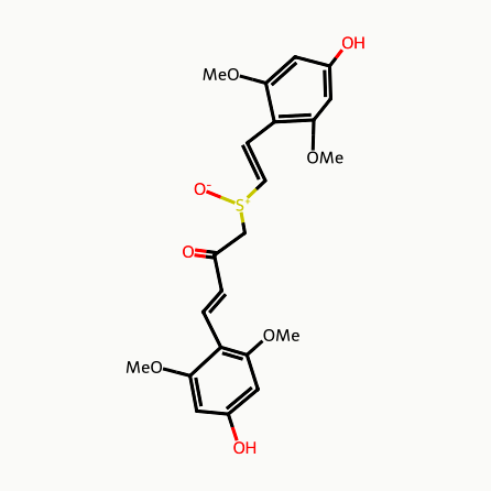 COc1cc(O)cc(OC)c1/C=C/C(=O)C[S+]([O-])/C=C/c1c(OC)cc(O)cc1OC